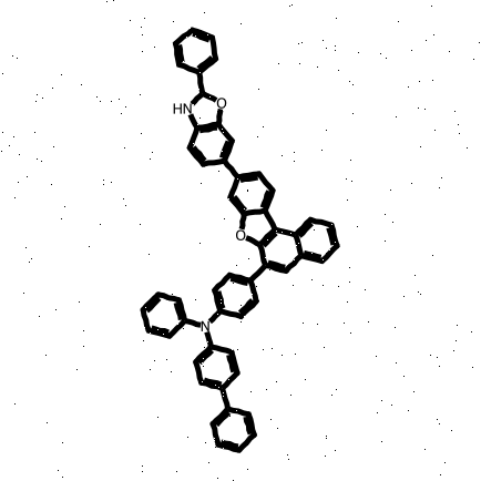 c1ccc(-c2ccc(N(c3ccccc3)c3ccc(-c4cc5ccccc5c5c4oc4cc(-c6ccc7c(c6)OC(c6ccccc6)N7)ccc45)cc3)cc2)cc1